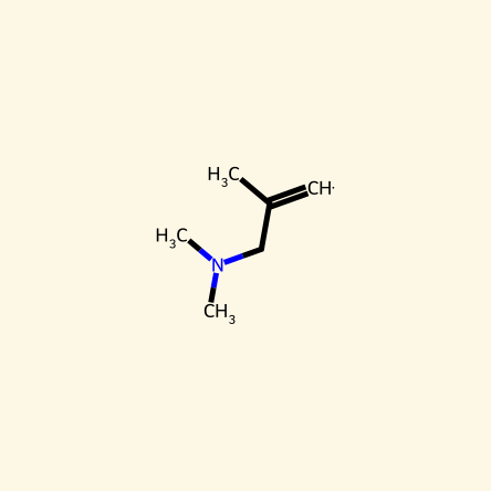 [CH]=C(C)CN(C)C